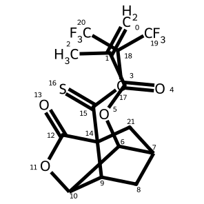 C=C(C)C(=O)OC1C2CC3C1OC(=O)C3(C(=S)OC(C(F)(F)F)C(F)(F)F)C2